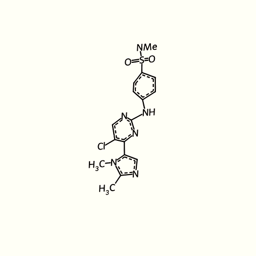 CNS(=O)(=O)c1ccc(Nc2ncc(Cl)c(-c3cnc(C)n3C)n2)cc1